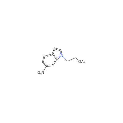 CC(=O)OCCn1ccc2ccc([N+](=O)[O-])cc21